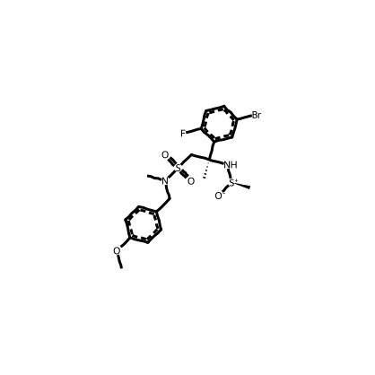 COc1ccc(CN(C)S(=O)(=O)C[C@](C)(N[S@@+](C)[O-])c2cc(Br)ccc2F)cc1